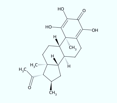 CC(=O)[C@H]1[C@H](C)C[C@H]2[C@@H]3CCC4=C(O)C(=O)C(O)=C(O)[C@]4(C)[C@H]3CC[C@@]21C